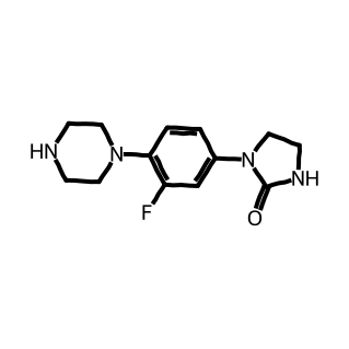 O=C1NCCN1c1ccc(N2CCNCC2)c(F)c1